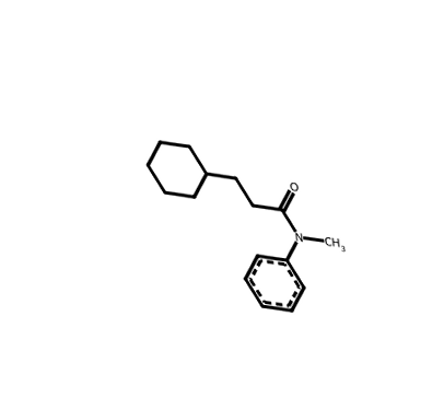 CN(C(=O)CCC1CCCCC1)c1ccccc1